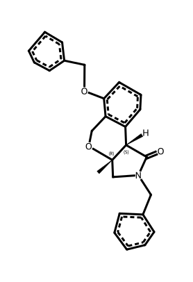 C[C@]12CN(Cc3ccccc3)C(=O)[C@H]1c1cccc(OCc3ccccc3)c1CO2